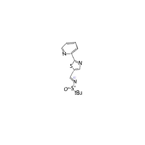 CC(C)(C)[S+]([O-])/N=C/c1cnc(-c2ccccn2)s1